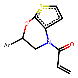 C=CC(=O)N1CC(C(C)=O)Oc2sccc21